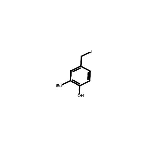 CCC(C)c1cc(CI)ccc1O